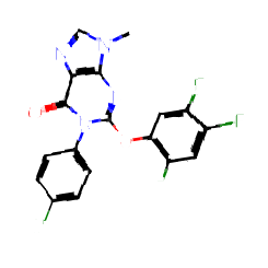 Cn1cnc2c(=O)n(-c3ccc(Cl)cc3)c(Oc3cc(F)c(F)cc3F)nc21